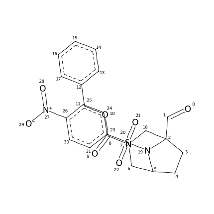 O=CC12CCC(CN(C(=O)OCc3ccccc3)C1)N2S(=O)(=O)c1ccc([N+](=O)[O-])cc1